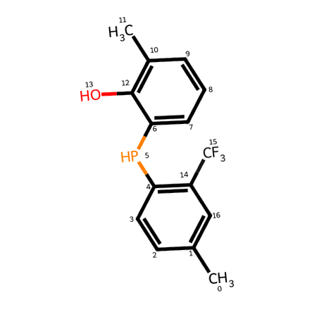 Cc1ccc(Pc2cccc(C)c2O)c(C(F)(F)F)c1